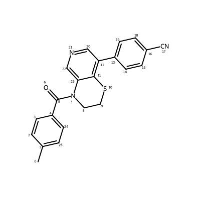 Cc1ccc(C(=O)N2CCSc3c(-c4ccc(C#N)cc4)cncc32)cc1